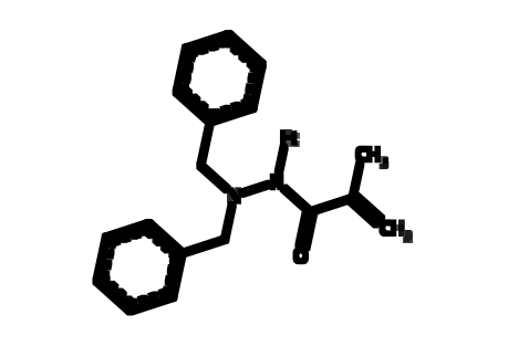 C=C(C)C(=O)N(CC)N(Cc1ccccc1)Cc1ccccc1